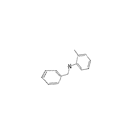 Cc1ccccc1[N]Cc1ccccc1